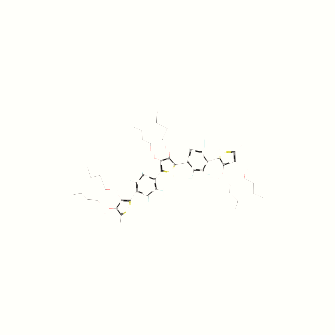 CCCCOc1c(C)sc(-c2c(F)c(F)c(-c3sc(-c4c(F)c(F)c(-c5sc(C)c(OCCCC)c5OCCCC)c(F)c4F)c(OCCCC)c3OCCCC)c(F)c2F)c1OCCCC